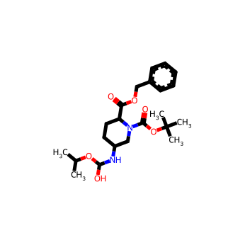 CC(C)OC(O)NC1CCC(C(=O)OCc2ccccc2)N(C(=O)OC(C)(C)C)C1